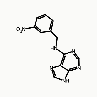 O=[N+]([O-])c1cccc(CNc2ncnc3[nH]cnc23)c1